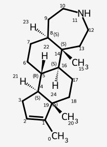 CC1=CC[C@H]2[C@@H]3CC[C@H]4CCNCC[C@]4(C)[C@H]3CC[C@]12C